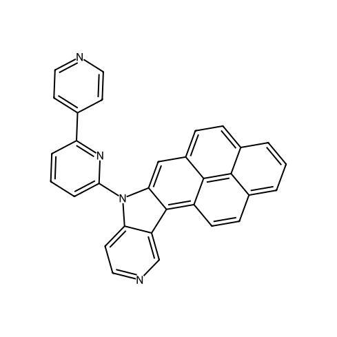 c1cc(-c2ccncc2)nc(-n2c3ccncc3c3c4ccc5cccc6ccc(cc32)c4c65)c1